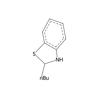 CCCCC1Nc2ccccc2S1